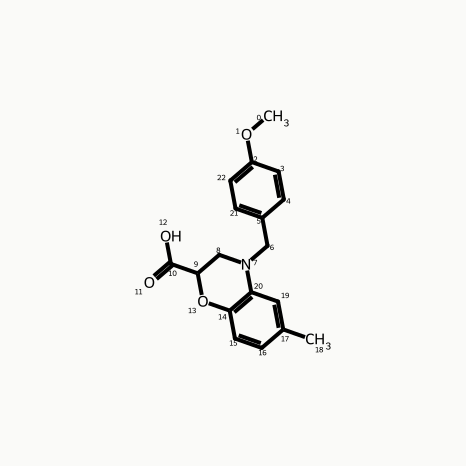 COc1ccc(CN2CC(C(=O)O)Oc3ccc(C)cc32)cc1